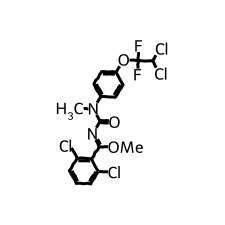 CO/C(=N\C(=O)N(C)c1ccc(OC(F)(F)C(Cl)Cl)cc1)c1c(Cl)cccc1Cl